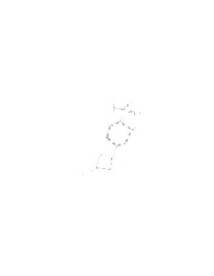 CO[C@H]1C[C@@](F)(c2ccc(S(=O)(=O)Cl)cc2)C1